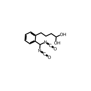 O=C=NC(N=C=O)c1ccccc1CCCC(O)O